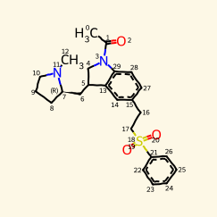 CC(=O)N1CC(C[C@H]2CCCN2C)c2cc(CCS(=O)(=O)c3ccccc3)ccc21